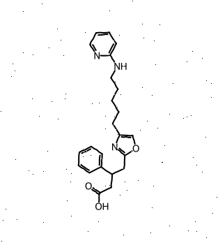 O=C(O)CC(Cc1nc(CCCCCNc2ccccn2)co1)c1ccccc1